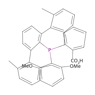 COc1cccc(OC)c1P(c1ccccc1C(=O)O)c1c(-c2c(C)cccc2C)cccc1-c1c(C)cccc1C